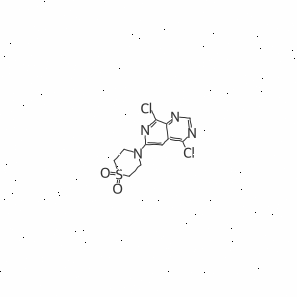 O=S1(=O)CCN(c2cc3c(Cl)ncnc3c(Cl)n2)CC1